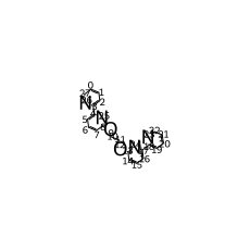 c1ccc(-c2cccc(OCCOc3cccc(-c4ccccn4)n3)n2)nc1